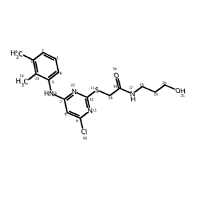 Cc1cccc(Nc2cc(Cl)nc(SCC(=O)NCCCO)n2)c1C